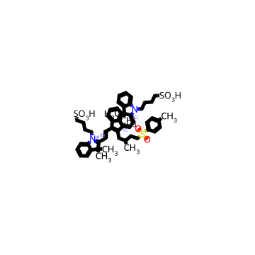 Cc1ccc(S(=O)(=O)CCC(C)CC2=C(/C=C/C3=[N+](CCCCS(=O)(=O)O)c4ccccc4C3(C)C)c3ccccc3/C2=C\C=C2\N(CCCCS(=O)(=O)O)c3ccccc3C2(C)C)cc1